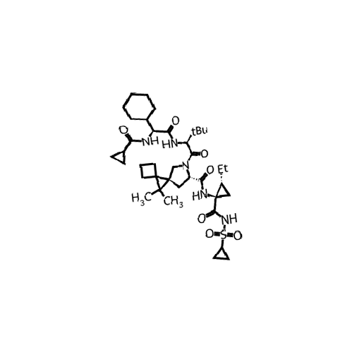 CC[C@@H]1C[C@]1(NC(=O)[C@@H]1C[C@@]2(CN1C(=O)[C@@H](NC(=O)[C@@H](NC(=O)C1CC1)C1CCCCC1)C(C)(C)C)C(C)(C)C21CCC1)C(=O)NS(=O)(=O)C1CC1